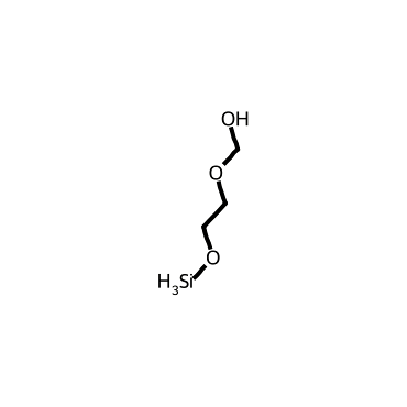 OCOCCO[SiH3]